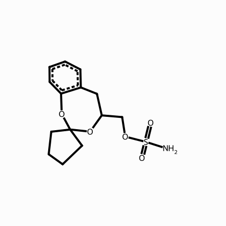 NS(=O)(=O)OCC1Cc2ccccc2OC2(CCCC2)O1